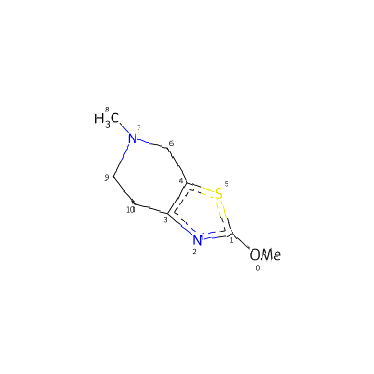 COc1nc2c(s1)CN(C)CC2